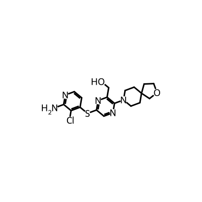 Nc1nccc(Sc2cnc(N3CCC4(CCOC4)CC3)c(CO)n2)c1Cl